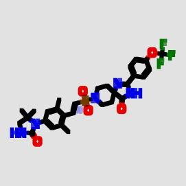 Cc1cc(N2C(=O)NCC2(C)C)cc(C)c1/C=C/S(=O)(=O)N1CCC2(CC1)N=C(c1ccc(OC(F)(F)F)cc1)NC2=O